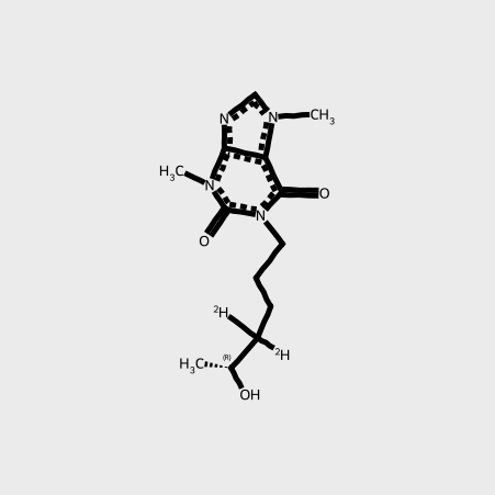 [2H]C([2H])(CCCn1c(=O)c2c(ncn2C)n(C)c1=O)[C@@H](C)O